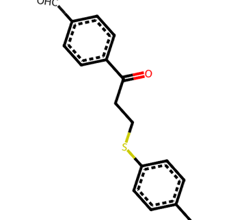 Cc1ccc(SCCC(=O)c2ccc(C=O)cc2)cc1